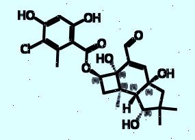 Cc1c(Cl)c(O)cc(O)c1C(=O)O[C@@H]1C[C@]2(C)[C@H]3[C@@H](O)C(C)(C)C[C@@]3(O)C=C(C=O)[C@]12O